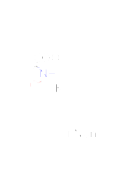 CCCCCCCCCCCCCCCC(=O)N[C@@H](C)C(=O)[O-].[K+]